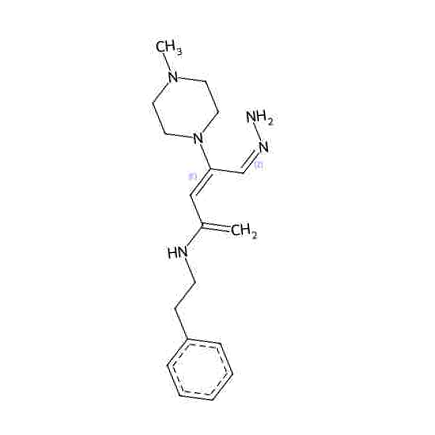 C=C(/C=C(\C=N/N)N1CCN(C)CC1)NCCc1ccccc1